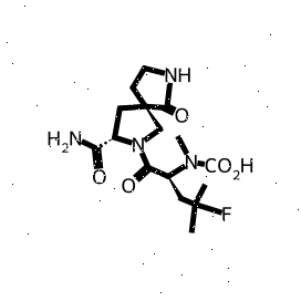 CN(C(=O)O)[C@@H](CC(C)(C)F)C(=O)N1C[C@]2(CCNC2=O)C[C@H]1C(N)=O